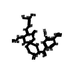 C=C1CC2(CCNC(C(=C)c3ccc(C(C)(C)C)c(F)c3)C2)CC(CC(C)C)/C1=C/C=C(\C)F